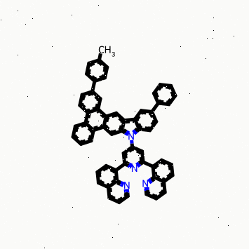 Cc1ccc(-c2ccc3c4ccccc4c4cc5c(cc4c3c2)c2cc(-c3ccccc3)ccc2n5-c2cc(-c3cccc4cccnc34)nc(-c3cccc4cccnc34)c2)cc1